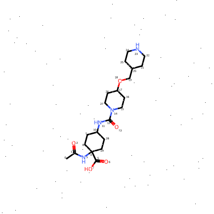 CC(=O)NC1(C(=O)O)CCC(NC(=O)N2CCC(OCC3CCNCC3)CC2)CC1